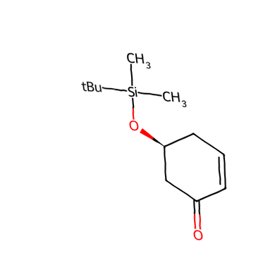 CC(C)(C)[Si](C)(C)O[C@H]1CC=CC(=O)C1